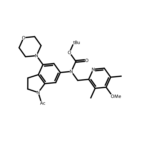 COc1c(C)cnc(CN(C(=O)OC(C)(C)C)c2cc(N3CCOCC3)c3c(c2)N(C(C)=O)CC3)c1C